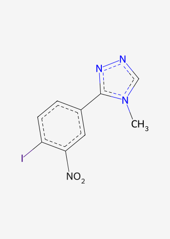 Cn1cnnc1-c1ccc(I)c([N+](=O)[O-])c1